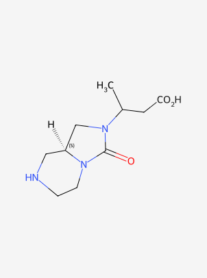 CC(CC(=O)O)N1C[C@@H]2CNCCN2C1=O